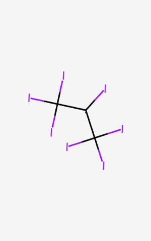 I[C](C(I)(I)I)C(I)(I)I